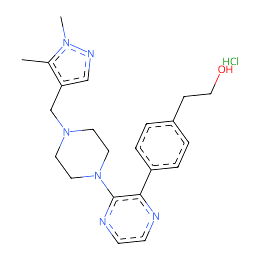 Cc1c(CN2CCN(c3nccnc3-c3ccc(CCO)cc3)CC2)cnn1C.Cl